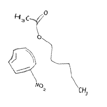 CCCCCOC(C)=O.O=[N+]([O-])c1ccccc1